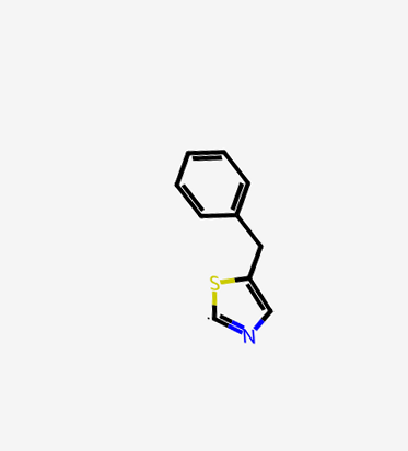 [c]1ncc(Cc2ccccc2)s1